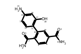 NC(=O)c1ccc(C(N)=O)c(-c2ccc(N)cc2O)c1